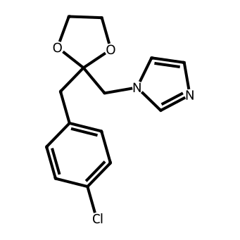 Clc1ccc(CC2(Cn3ccnc3)OCCO2)cc1